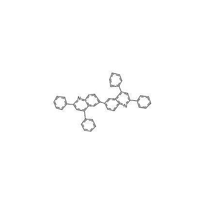 c1ccc(-c2cc(-c3ccccc3)c3cc(-c4ccc5nc(-c6ccccc6)cc(-c6ccccc6)c5c4)ccc3n2)cc1